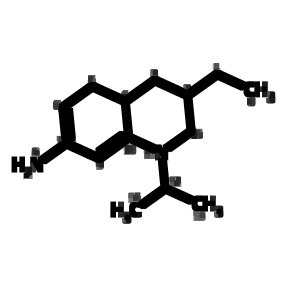 CCC1CC2CC=C(N)C=C2N(C(C)C)C1